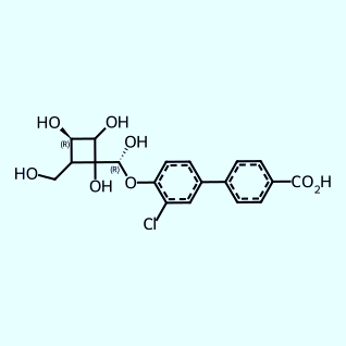 O=C(O)c1ccc(-c2ccc(O[C@@H](O)C3(O)C(O)[C@H](O)C3CO)c(Cl)c2)cc1